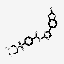 CCN(CC)S(=O)(=O)c1ccc(C(=O)Nc2nc(-c3ccc4c(c3)CC(=O)N4)cs2)cc1